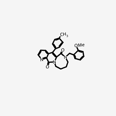 COc1ccccc1CN1CCCCn2c(c(-c3ccc(C)cc3)c3cccnc3c2=O)C1=O